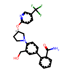 NC(=O)c1ccccc1-c1ccc(N2CC[C@H](Oc3ccc(C(F)(F)F)cn3)C2)c(CO)c1